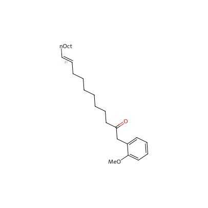 CCCCCCCC/C=C/CCCCCCCC(=O)Cc1ccccc1OC